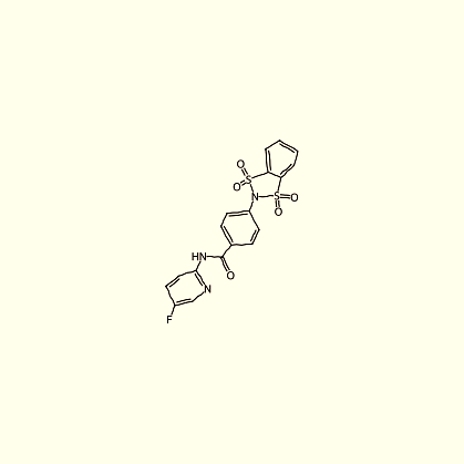 O=C(Nc1ccc(F)cn1)c1ccc(N2S(=O)(=O)c3ccccc3S2(=O)=O)cc1